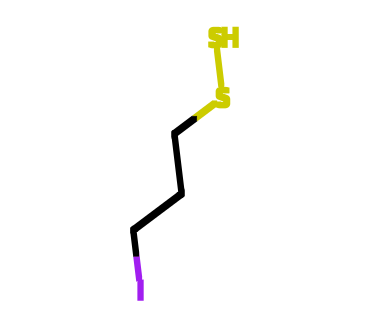 SSCCCI